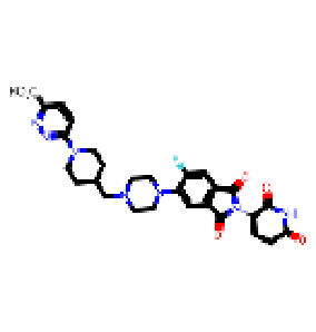 O=C1CC[C@H](N2C(=O)c3cc(F)c(N4CCN(CC5CCN(c6ccc(C(=O)O)nn6)CC5)CC4)cc3C2=O)C(=O)N1